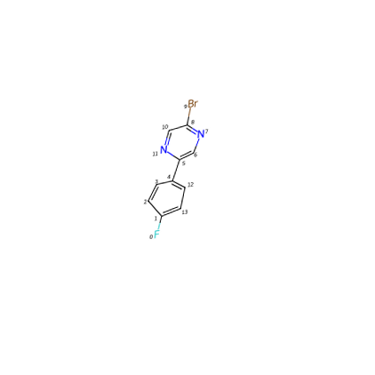 Fc1ccc(-c2cnc(Br)cn2)cc1